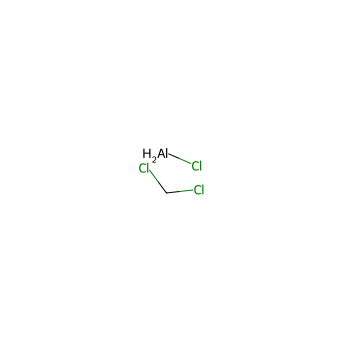 ClCCl.[AlH2][Cl]